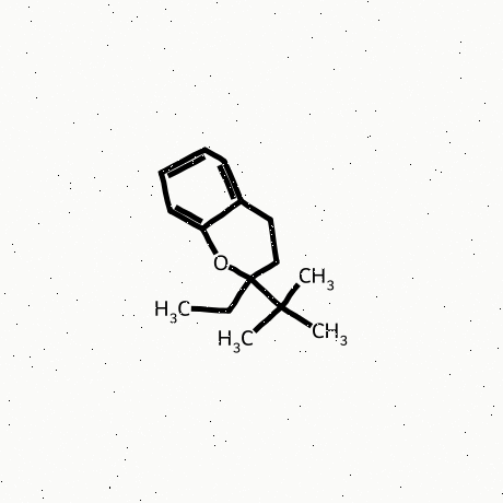 CCC1(C(C)(C)C)CCc2ccccc2O1